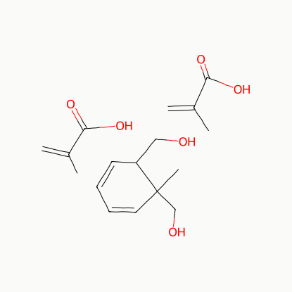 C=C(C)C(=O)O.C=C(C)C(=O)O.CC1(CO)C=CC=CC1CO